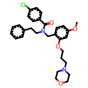 COc1ccc(CN(CCc2ccccc2)C(=O)c2ccc(Cl)cc2)c(OCCCN2CCOCC2)c1